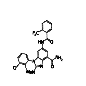 CNc1nc2c(C(N)=O)cc(NC(=O)c3ccccc3C(F)(F)F)cc2n1-c1cccc(Cl)c1C